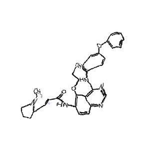 CN1CCCC1/C=C/C(=O)Nc1ccc2ncnc(Nc3ccc(Oc4ccccc4)cc3)c2c1OCCO